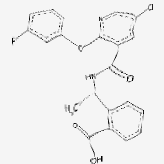 C[C@H](NC(=O)c1cc(Cl)cnc1Oc1cccc(F)c1)c1ccccc1C(=O)O